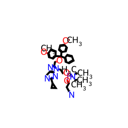 COc1ccc(C(OCc2nc3cnc(C4CC4)nc3n2CCOP(OCCC#N)N(C(C)C)C(C)C)(c2ccccc2)c2ccc(OC)cc2)cc1